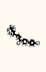 Cn1nc(-c2ccc(C(=O)N3CCN(c4ccc(Cl)cc4)CC3)s2)cc1C(F)(F)F